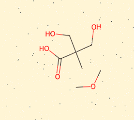 CC(CO)(CO)C(=O)O.COC